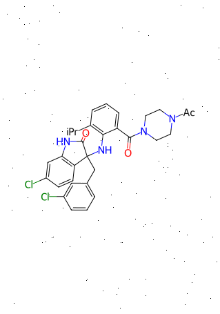 CC(=O)N1CCN(C(=O)c2cccc(C(C)C)c2NC2(Cc3cccc(Cl)c3)C(=O)Nc3cc(Cl)ccc32)CC1